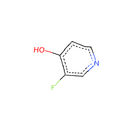 Oc1ccncc1F